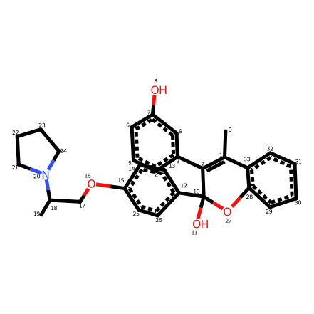 CC1=C(c2cccc(O)c2)C(O)(c2ccc(OCC(C)N3CCCC3)cc2)Oc2ccccc21